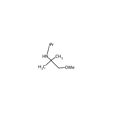 COCC(C)(C)NC(C)C